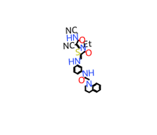 CCn1c(=C(C#N)C(=O)NCC#N)sc(=CNc2cccc(NC(=O)CN3CCCc4ccccc43)c2)c1=O